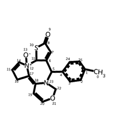 Cc1ccc(C2C3=CC(=O)SC3[N+]3([O-])C=CCC3=C3C=COCN32)cc1